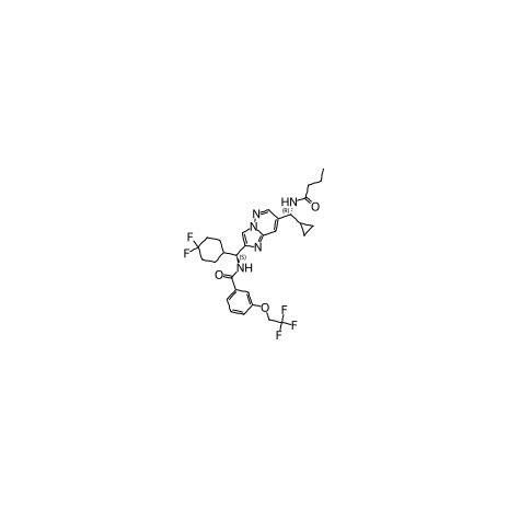 CCCC(=O)N[C@@H](c1cnn2cc([C@@H](NC(=O)c3cccc(OCC(F)(F)F)c3)C3CCC(F)(F)CC3)nc2c1)C1CC1